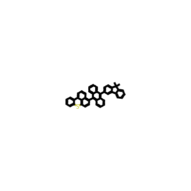 CC1(C)c2ccccc2-c2cc(-c3c4ccccc4c(-c4ccc5c6c(cccc46)-c4ccccc4S5)c4ccccc34)ccc21